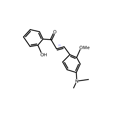 COc1cc(N(C)C)ccc1/C=C/C(=O)c1ccccc1O